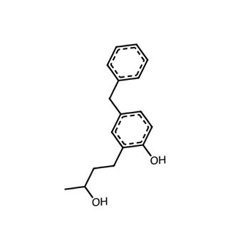 CC(O)CCc1cc(Cc2ccccc2)ccc1O